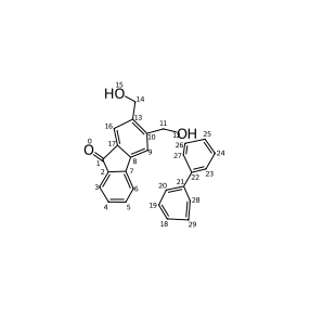 O=C1c2ccccc2-c2cc(CO)c(CO)cc21.c1ccc(-c2ccccc2)cc1